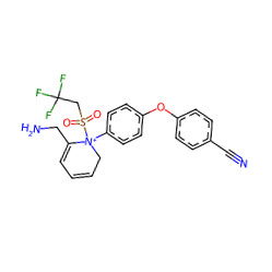 N#Cc1ccc(Oc2ccc([N+]3(S(=O)(=O)CC(F)(F)F)CC=CC=C3CN)cc2)cc1